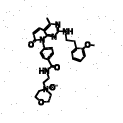 COc1ccccc1CCNc1nc(C)c2ccc(=O)n(-c3ccc(C(=O)NCC[N+]4([O-])CCOCC4)cc3)c2n1